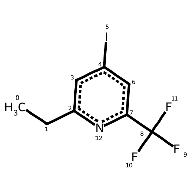 CCc1cc(I)cc(C(F)(F)F)n1